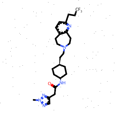 Cn1ncc(CC(=O)N[C@H]2CC[C@H](CCN3CCc4ccc(CCC(F)(F)F)nc4CC3)CC2)n1